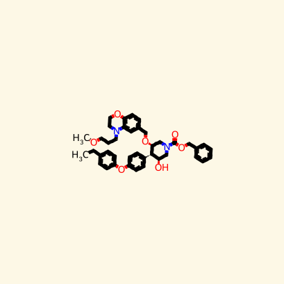 CCc1ccc(Oc2ccc([C@H]3[C@H](O)CN(C(=O)OCc4ccccc4)C[C@@H]3OCc3ccc4c(c3)N(CCCOC)CCO4)cc2)cc1